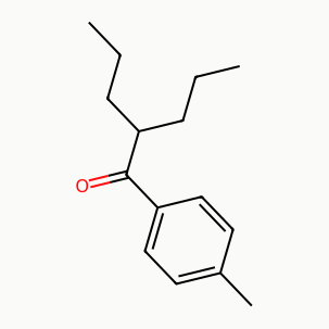 CCCC(CCC)C(=O)c1ccc(C)cc1